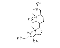 CC(CCN)C1CCC2C3CCC4C[C@H](O)CCC4(C)C3CCC12C